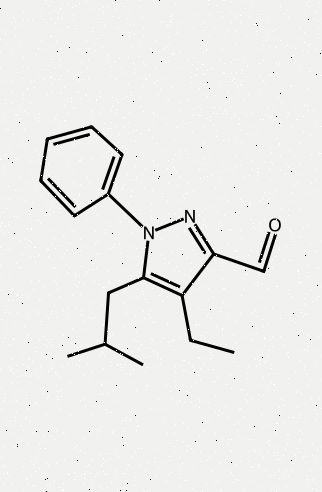 CCc1c(C=O)nn(-c2ccccc2)c1CC(C)C